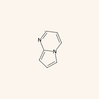 [c]1ccn2cccc2n1